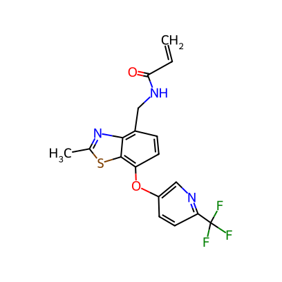 C=CC(=O)NCc1ccc(Oc2ccc(C(F)(F)F)nc2)c2sc(C)nc12